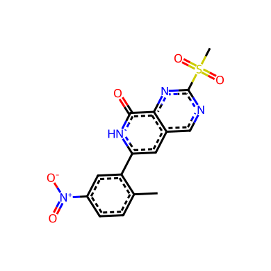 Cc1ccc([N+](=O)[O-])cc1-c1cc2cnc(S(C)(=O)=O)nc2c(=O)[nH]1